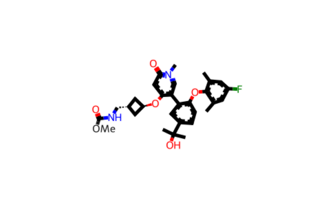 COC(=O)NC[C@H]1C[C@H](Oc2cc(=O)n(C)cc2-c2cc(C(C)(C)O)ccc2Oc2c(C)cc(F)cc2C)C1